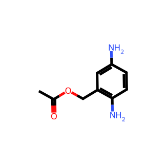 CC(=O)OCc1cc(N)ccc1N